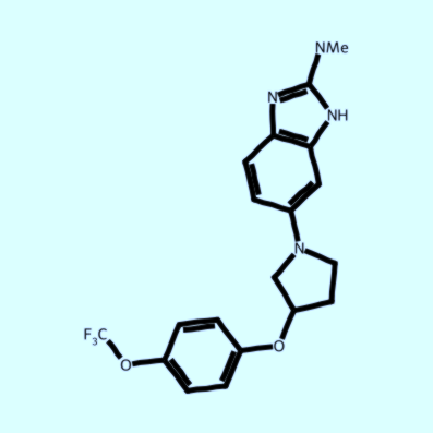 CNc1nc2ccc(N3CCC(Oc4ccc(OC(F)(F)F)cc4)C3)cc2[nH]1